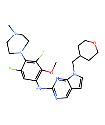 COc1c(Nc2ncc3ccn(CC4CCOCC4)c3n2)cc(F)c(N2CCN(C)CC2)c1F